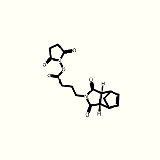 O=C(CCCN1C(=O)[C@@H]2C3C=CC(C3)[C@@H]2C1=O)ON1C(=O)CCC1=O